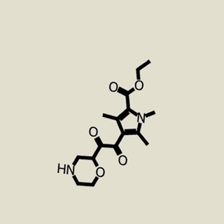 CCOC(=O)c1c(C)c(C(=O)C(=O)C2CNCCO2)c(C)n1C